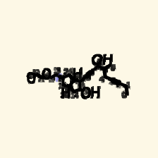 CCC#CCC(C)[C@H](O)C#CC1C(O)C[C@@H]2C/C(=C\COCC=O)C[C@H]12